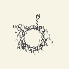 CC[C@@H]1NC(=O)[C@H]([C@H](O)[C@H](C)C/C=C/CC(C)(C)O)NC(=O)[C@H](C(C)C)N(C)C(=O)[C@H](CC(C)C)N(C)C(=O)[C@H](CC(C)C)N(C)C(=O)[C@@H](C)NC(=O)[C@H](C)NC(=O)[C@H](CC(C)C)N(C)C(=O)[C@H](C(C)C)NC(=O)[C@H]([C@@H](C)OCCCCN2CCOCC2)N(C)C(=O)[C@@H](C)N(C)C1=O